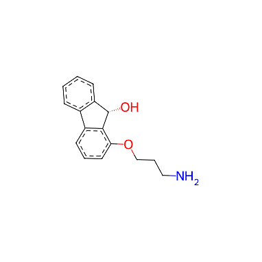 NCCCOc1cccc2c1[C@@H](O)c1ccccc1-2